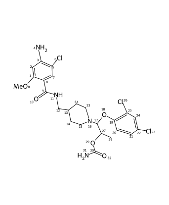 COc1cc(N)c(Cl)cc1C(=O)NCC1CCN(C(Oc2ccc(Cl)cc2Cl)C(C)OC(N)=O)CC1